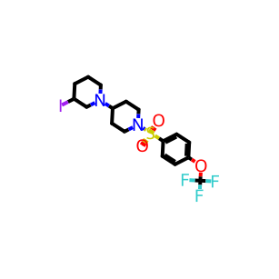 O=S(=O)(c1ccc(OC(F)(F)F)cc1)N1CCC(N2CCCC(I)C2)CC1